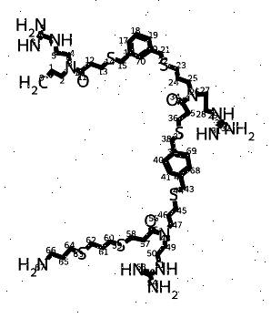 C=CCN(CCNC(=N)N)C(=O)CCSCc1cccc(CSCCCN(CCNC(=N)N)C(=O)CCSCc2ccc(CSCCCN(CCNC(=N)N)C(=O)CCSCCCSCCCN)cc2)c1